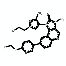 CCOc1ccc(-c2ccc3ncc4c(c3c2)n(-c2cn(CCO)nc2C)c(=O)n4C)cn1